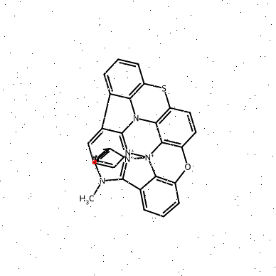 Cn1c2[n+](c3ccncc31)[N+]13c4c(cccc4-2)Oc2ccc4c(c21)-n1c2c(cccc2c2ccc[n+]3c21)S4